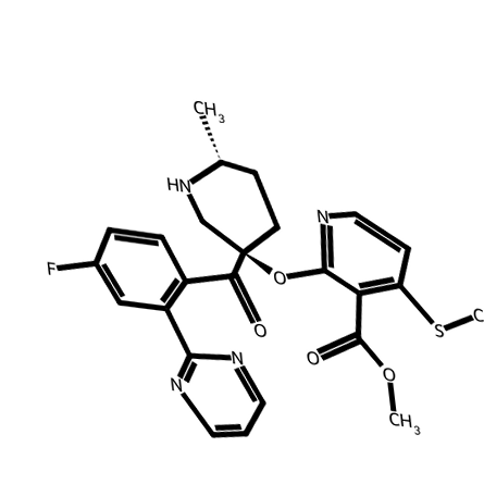 COC(=O)c1c(SC)ccnc1O[C@]1(C(=O)c2ccc(F)cc2-c2ncccn2)CC[C@@H](C)NC1